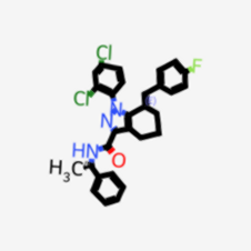 C[C@@H](NC(=O)c1nn(-c2ccc(Cl)cc2Cl)c2c1CCC/C2=C\c1ccc(F)cc1)c1ccccc1